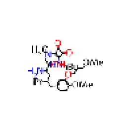 CCCCNc1c(N(C)C[C@H](O)C(N)CC(Cc2ccc(OC)c(OCCCOC)c2)C(C)C)c(=O)c1=O